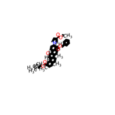 CCOC(=O)[C@@H]1CCN([C@H]2CC[C@@]3(C)[C@@H](CC[C@]4(C)[C@@H]3C(=O)C=C3[C@@H]5C[C@@](C)(C(=O)OCC[Si](C)(C)C)CC[C@]5(C)CC[C@]34C)[C@]2(C)C(=O)OCc2ccccc2)C1